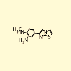 CNc1ccc(-c2cn3ccsc3n2)cc1N